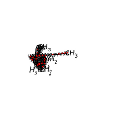 CCCCCCCCCCCCCCCCCCOC[C@H](COP(=O)(OC[C@@]1(C#N)O[C@@H](c2ccc3c(N)ncnn23)[C@@H]2OC(C)(C)O[C@@H]21)Oc1ccccc1Cl)OCc1ccc(OC)c(C#N)c1